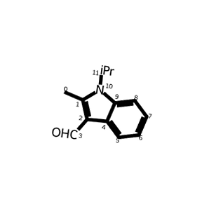 Cc1c(C=O)c2ccccc2n1C(C)C